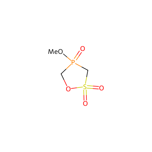 COP1(=O)COS(=O)(=O)C1